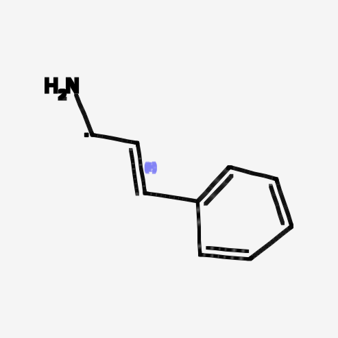 N[CH]/C=C/c1ccccc1